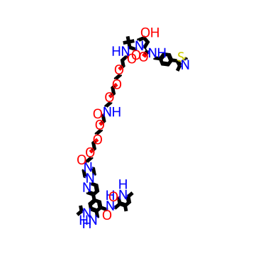 Cc1cc(C)c(CNC(=O)c2cc(-c3ccc(N4CCN(C(=O)COCCOCCOCC(=O)NCCOCCOCCOCCC(=O)N[C@H](C(=O)N5C[C@H](O)C[C@H]5C(=O)NCc5ccc(-c6scnc6C)cc5)C(C)(C)C)CC4)nc3)cc(NC(C)C)c2C=N)c(=O)[nH]1